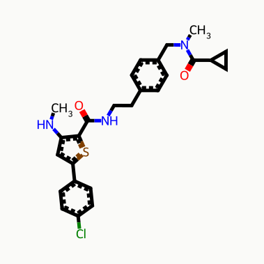 CNc1cc(-c2ccc(Cl)cc2)sc1C(=O)NCCc1ccc(CN(C)C(=O)C2CC2)cc1